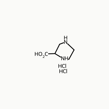 Cl.Cl.O=C(O)C1CNCCN1